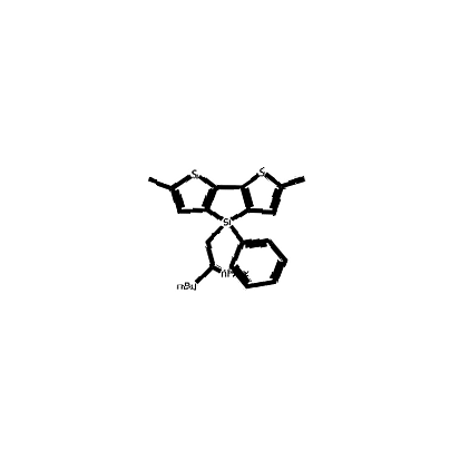 CCCCCCC(CCCC)C[Si]1(c2ccccc2)c2cc(C)sc2-c2sc(C)cc21